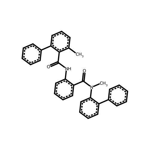 Cc1cccc(-c2ccccc2)c1C(=O)Nc1ccccc1C(=O)N(C)c1ccccc1-c1ccccc1